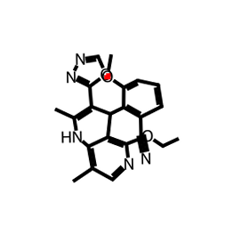 CCOc1ncc(C)c2c1C(c1c(C#N)cccc1OC)C(c1nnco1)=C(C)N2